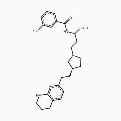 CC(C)(C)c1cccc(C(=O)NC(CCN2CC[C@@H](CCc3ccc4c(n3)NCCC4)C2)C(=O)O)c1